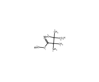 COOC(=O)C(C)([SiH3])C(C)(OC)C(=O)O